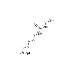 CCCCCCCCCCCCNC(=O)NCC(C)C